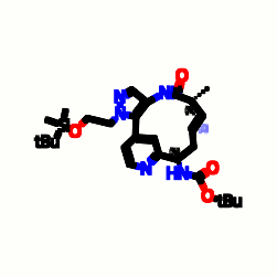 C[C@@H]1/C=C/C[C@H](NC(=O)OC(C)(C)C)c2cc(ccn2)-c2c(cnn2CCO[Si](C)(C)C(C)(C)C)NC1=O